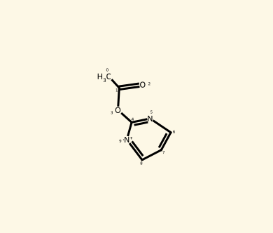 CC(=O)OC1=NC=CC=[N+]1